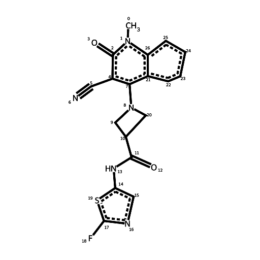 Cn1c(=O)c(C#N)c(N2CC(C(=O)Nc3cnc(F)s3)C2)c2ccccc21